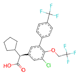 O=C(O)[C@H](c1cc(Cl)c(OCC(F)(F)F)c(-c2ccc(C(F)(F)F)cc2)c1)C1CCCC1